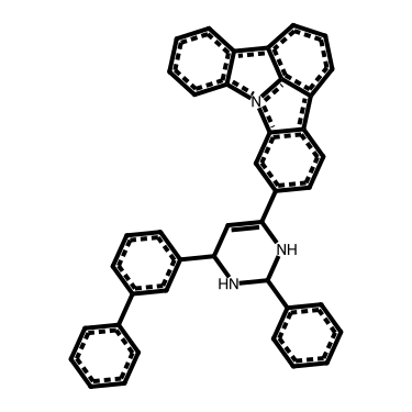 C1=C(c2ccc3c4cccc5c6ccccc6n(c3c2)c54)NC(c2ccccc2)NC1c1cccc(-c2ccccc2)c1